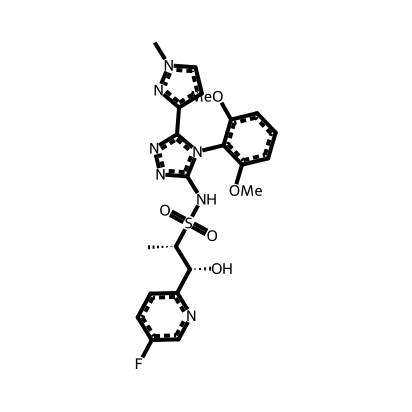 COc1cccc(OC)c1-n1c(NS(=O)(=O)[C@@H](C)[C@H](O)c2ccc(F)cn2)nnc1-c1ccn(C)n1